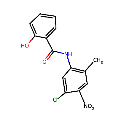 Cc1cc([N+](=O)[O-])c(Cl)cc1NC(=O)c1ccccc1O